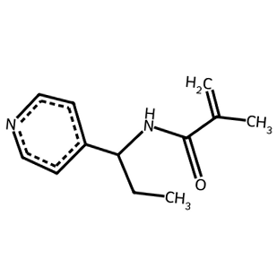 C=C(C)C(=O)NC(CC)c1ccncc1